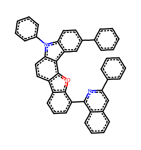 c1ccc(-c2ccc3c(c2)c2c4oc5c(-c6nc(-c7ccccc7)cc7ccccc67)cccc5c4ccc2n3-c2ccccc2)cc1